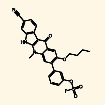 CCCCOc1cc2c(=O)c3c4ccc(C#N)cc4[nH]c3n(C)c2cc1-c1cccc(OS(=O)(=O)F)c1